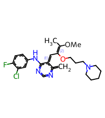 C=c1ncnc(Nc2ccc(F)c(Cl)c2)/c1=C/C(OCCCN1CCCCC1)=C(\C)OC